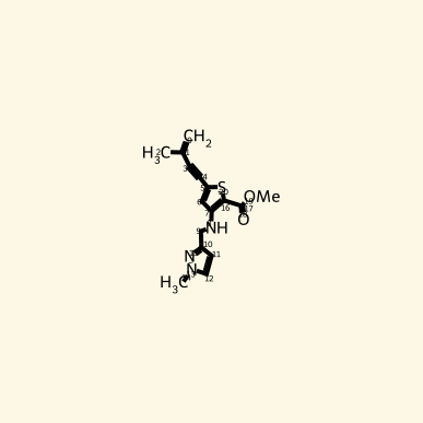 C=C(C)C#Cc1cc(NCc2ccn(C)n2)c(C(=O)OC)s1